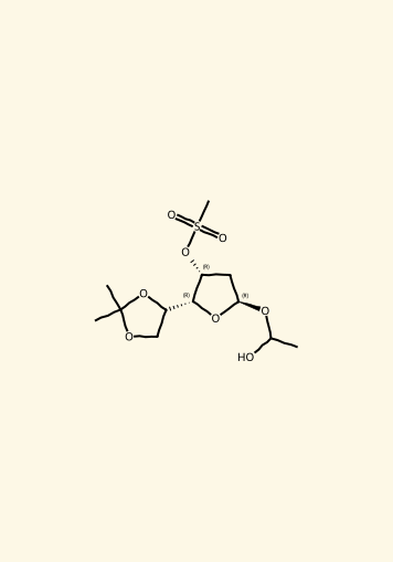 CC(O)O[C@@H]1C[C@@H](OS(C)(=O)=O)[C@@H](C2COC(C)(C)O2)O1